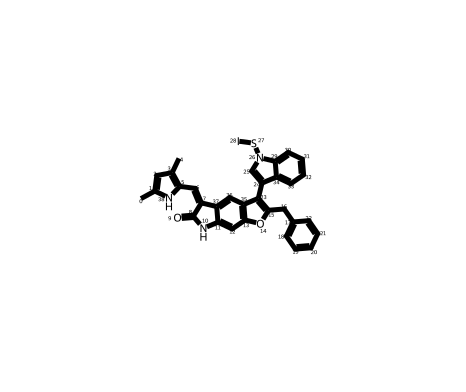 Cc1cc(C)c(/C=C2\C(=O)Nc3cc4oc(Cc5ccccc5)c(-c5cn(SI)c6ccccc56)c4cc32)[nH]1